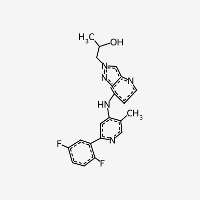 Cc1cnc(-c2cc(F)ccc2F)cc1Nc1ccnc2cn(CC(C)O)nc12